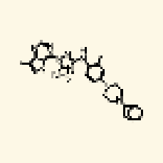 Cc1cc(N2CCN(C3CC4CCC3C4)CC2)ccc1Nc1nc(N)n(-c2ncnc3c(C)csc23)n1